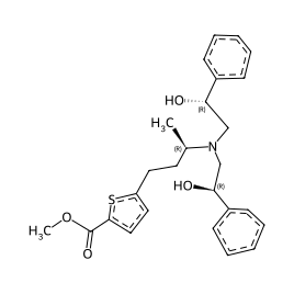 COC(=O)c1ccc(CC[C@@H](C)N(C[C@H](O)c2ccccc2)C[C@H](O)c2ccccc2)s1